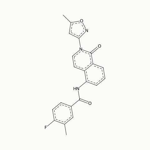 Cc1cc(-n2ccc3c(NC(=O)c4ccc(F)c(C)c4)cccc3c2=O)no1